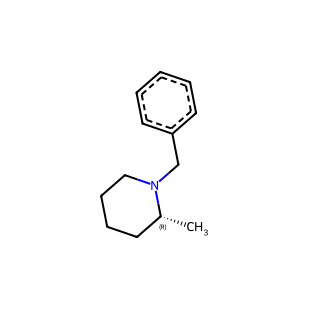 C[C@@H]1CCCCN1Cc1ccccc1